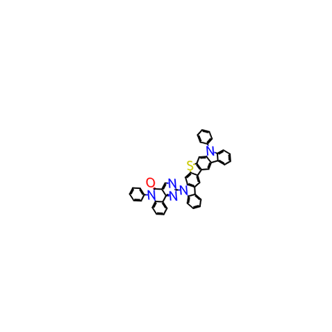 O=c1c2cnc(-n3c4ccccc4c4cc5c(cc43)sc3cc4c(cc35)c3ccccc3n4-c3ccccc3)nc2c2ccccc2n1-c1ccccc1